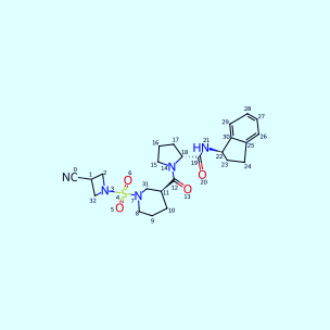 N#CC1CN(S(=O)(=O)N2CCC[C@H](C(=O)N3CCC[C@@H]3C(=O)N[C@@H]3CCc4ccccc43)C2)C1